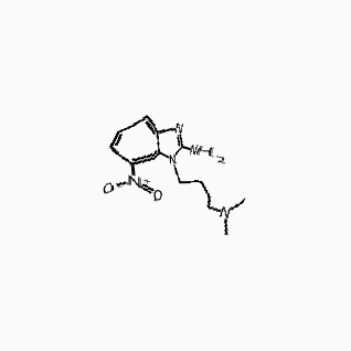 CN(C)CCCn1c(N)nc2cccc([N+](=O)[O-])c21